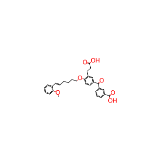 COc1ccccc1/C=C/CCCCOc1ccc(C(=O)c2cccc(C(=O)O)c2)cc1CCC(=O)O